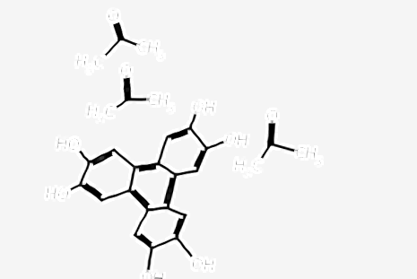 CC(C)=O.CC(C)=O.CC(C)=O.Oc1cc2c3cc(O)c(O)cc3c3cc(O)c(O)cc3c2cc1O